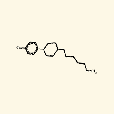 CCCCCCC[C@H]1CC[C@H](c2ccc([O])cc2)CC1